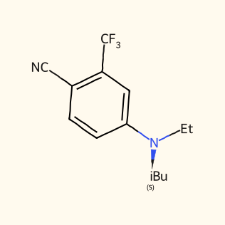 CC[C@H](C)N(CC)c1ccc(C#N)c(C(F)(F)F)c1